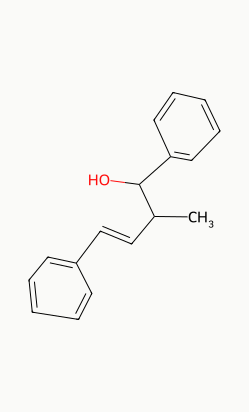 CC(/C=C/c1ccccc1)C(O)c1ccccc1